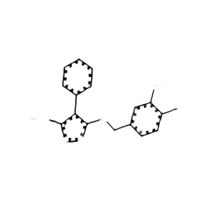 Cc1ccc(COc2onc(C(=O)O)c2-c2ccccc2)cc1[N+](=O)[O-]